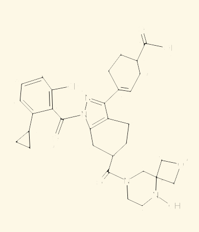 CN1CCN(C(=O)C2CCc3c(C4=CCC(C(=O)O)CC4)nn(C(=O)c4c(Cl)cccc4C4CC4)c3C2)CC12COC2